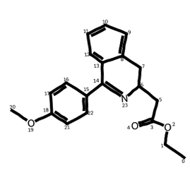 CCOC(=O)CC1Cc2ccccc2C(c2ccc(OC)cc2)=N1